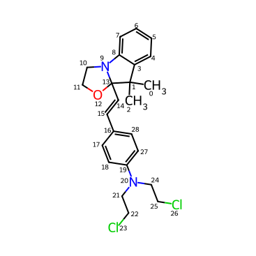 CC1(C)c2ccccc2N2CCOC21C=Cc1ccc(N(CCCl)CCCl)cc1